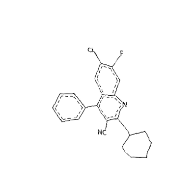 N#Cc1c(C2CCCCC2)nc2cc(F)c(Cl)cc2c1-c1ccccc1